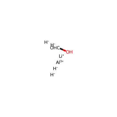 O=CO.[Al+3].[H-].[H-].[H-].[H-].[Li+]